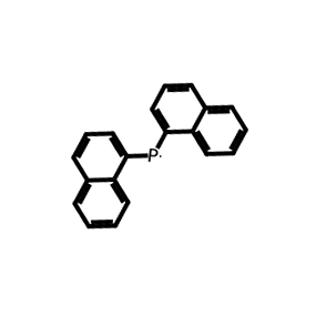 c1ccc2c([P]c3cccc4ccccc34)cccc2c1